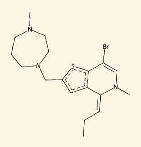 CC/C=C1\c2cc(CN3CCCN(C)CC3)sc2C(Br)=CN1C